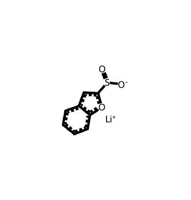 O=S([O-])c1cc2ccccc2o1.[Li+]